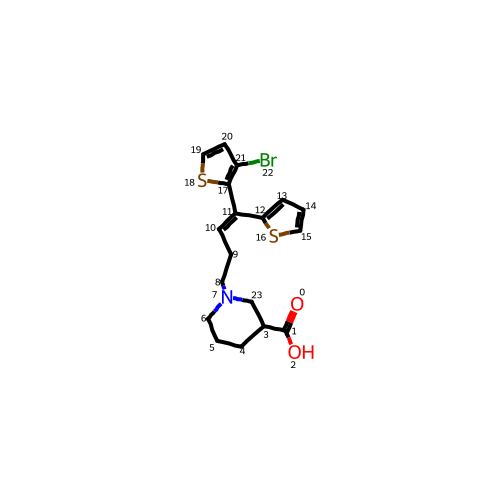 O=C(O)C1CCCN(CC/C=C(\c2cccs2)c2sccc2Br)C1